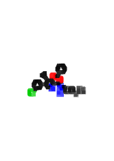 CCOC(=O)CNC(=O)c1ncc(-c2cccc(Cl)c2)c(C2CC2)c1OCc1ccccc1